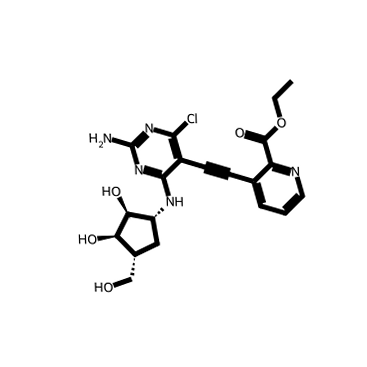 CCOC(=O)c1ncccc1C#Cc1c(Cl)nc(N)nc1N[C@@H]1C[C@H](CO)[C@@H](O)[C@H]1O